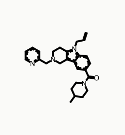 C=CCn1c2c(c3cc(C(=O)N4CCC(C)CC4)ccc31)CN(Cc1ccccn1)CC2